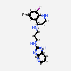 CCc1cc(I)c2c(c1)[C@H](NCCCNc1nc3ncccc3[nH]1)CCN2